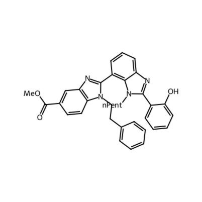 CCCCCn1c(-c2ccccc2O)nc2cccc(-c3nc4cc(C(=O)OC)ccc4n3CCc3ccccc3)c21